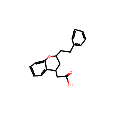 O=C(O)CC1CC(CCc2ccccc2)Oc2ccccc21